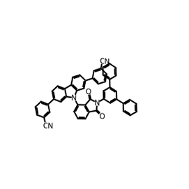 N#Cc1cccc(-c2ccc3c4ccc(-c5cccc(C#N)c5)cc4n(-c4cccc5c4C(=O)N(c4cc(-c6ccccc6)cc(-c6ccccc6)c4)C5=O)c3c2)c1